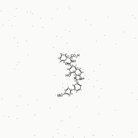 CC(C)(C)c1ccc(-c2cccc(-c3nc4c(ccc5cc(C(=O)N[C@H](C(=O)O)c6ccccc6)cc(O)c54)[nH]3)c2)cc1